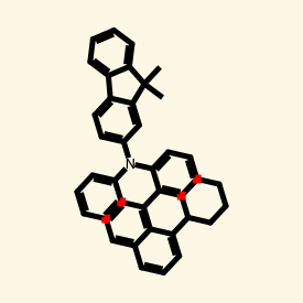 CC1(C)c2ccccc2-c2ccc(N(c3ccccc3)c3ccccc3-c3cccc4cccc(C5CCCCC5)c34)cc21